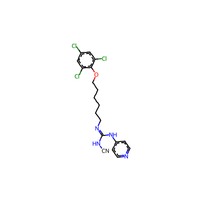 N#CNC(=NCCCCCCOc1c(Cl)cc(Cl)cc1Cl)Nc1ccncc1